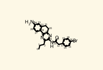 CCCc1nc2c(nc1NC(=O)Cc1ccc(Br)cc1)CCc1cc(N)ccc1-2